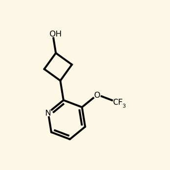 OC1CC(c2ncccc2OC(F)(F)F)C1